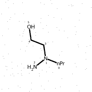 CCCN(N)CCO